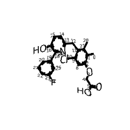 Cc1c(OCC(=O)O)cc(Cl)c(Cc2ccc(O)c(-c3cccc(F)c3)n2)c1C